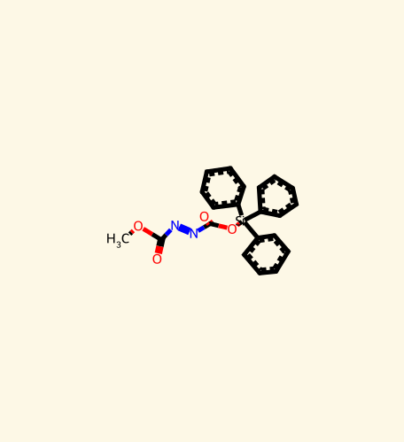 COC(=O)/N=N/C(=O)O[Si](c1ccccc1)(c1ccccc1)c1ccccc1